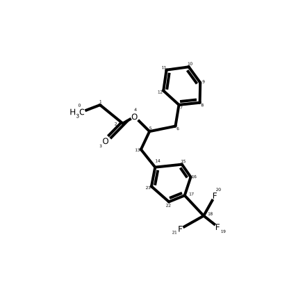 CCC(=O)OC(Cc1ccccc1)Cc1ccc(C(F)(F)F)cc1